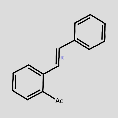 CC(=O)c1ccccc1/C=C/c1ccccc1